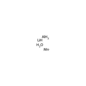 O.[AlH3].[LiH].[Mn]